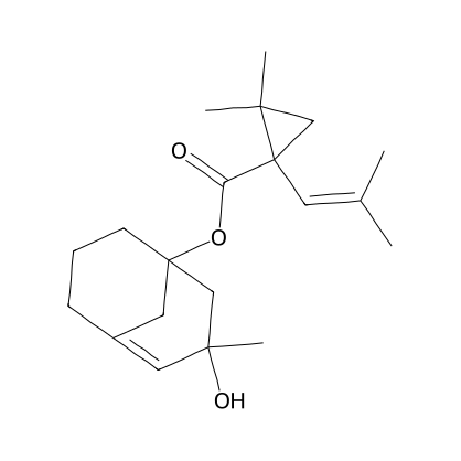 CC(C)=CC1(C(=O)OC23CCCC(=CC(C)(O)C2)C3)CC1(C)C